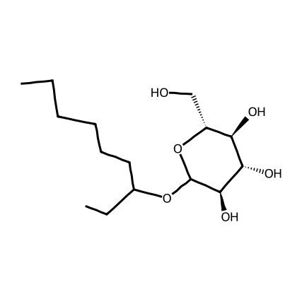 CCCCCCC(CC)OC1O[C@H](CO)[C@@H](O)[C@H](O)[C@H]1O